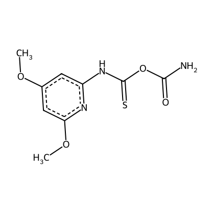 COc1cc(NC(=S)OC(N)=O)nc(OC)c1